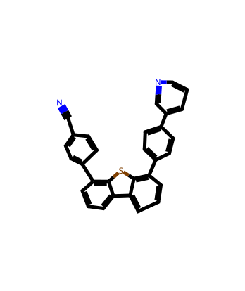 N#Cc1ccc(-c2cccc3c2sc2c(-c4ccc(-c5cccnc5)cc4)cccc23)cc1